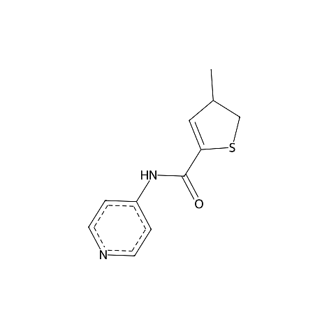 CC1C=C(C(=O)Nc2ccncc2)SC1